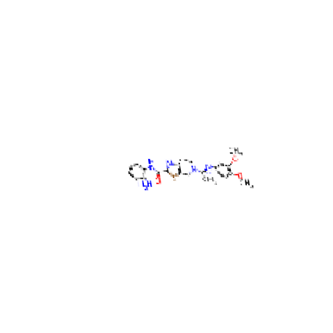 COc1ccc(/N=C(\C)N2CCc3nc(C(=O)Nc4ccccc4N)sc3C2)cc1OC